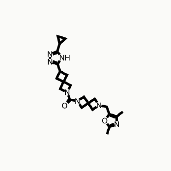 Cc1nc(C)c(CN2CC3(C2)CN(C(=O)N2CC4(CC(c5nnc(C6CC6)[nH]5)C4)C2)C3)o1